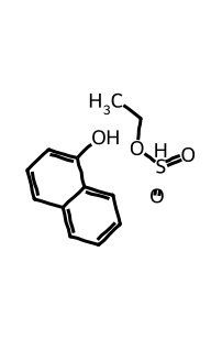 CCO[SH](=O)=O.Oc1cccc2ccccc12